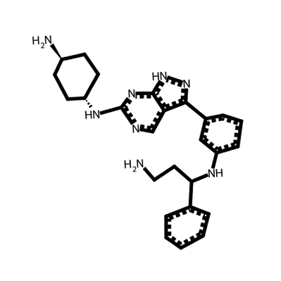 NCCC(Nc1cccc(-c2n[nH]c3nc(N[C@H]4CC[C@H](N)CC4)ncc23)c1)c1ccccc1